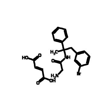 CC(Cc1cccc(Br)c1)(NC(=O)CN)c1ccccc1.O=C(O)C=CC(=O)O